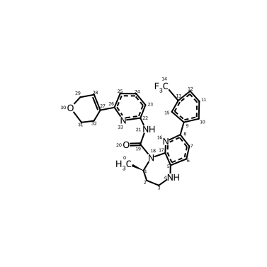 C[C@@H]1CCNc2ccc(-c3cccc(C(F)(F)F)c3)nc2N1C(=O)Nc1cccc(C2=CCOCC2)n1